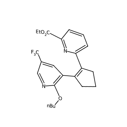 CCCCOc1ncc(C(F)(F)F)cc1C1=C(c2cccc(C(=O)OCC)n2)CCC1